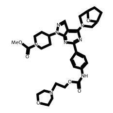 COC(=O)N1CCC(n2ncc3c(N4CC5CCC(C4)O5)nc(-c4ccc(NC(=O)OCCN5CCOCC5)cc4)nc32)CC1